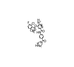 CB(C)O[C@@H](Oc1cc(C(=O)Nc2ccc(C(=O)N3C[C@@H](C)N[C@@H](C)C3)cc2)nnc1N)c1c(Cl)ccc(F)c1Cl